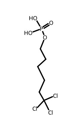 O=P(O)(O)OCCCCCC(Cl)(Cl)Cl